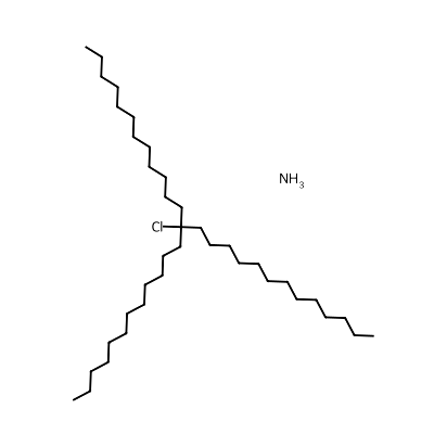 CCCCCCCCCCCCCC(Cl)(CCCCCCCCCCCC)CCCCCCCCCCCC.N